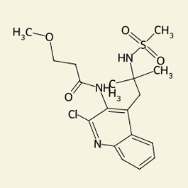 COCCC(=O)Nc1c(Cl)nc2ccccc2c1CC(C)(C)NS(C)(=O)=O